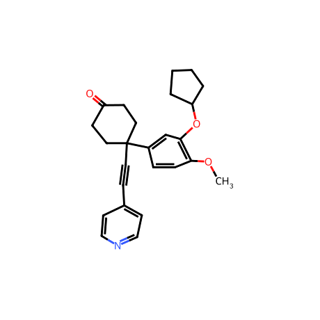 COc1ccc(C2(C#Cc3ccncc3)CCC(=O)CC2)cc1OC1CCCC1